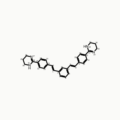 C(=C\c1cccc(/C=C/c2ccc(C3=NCCCN3)cc2)c1)/c1ccc(C2=NCCCN2)cc1